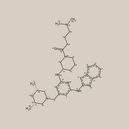 C[C@@H]1CN(Cc2cc(Nc3nc4cccnc4s3)nc(NC3CCCN(C(=O)CCCN(C)C)C3)c2)C[C@H](C)O1